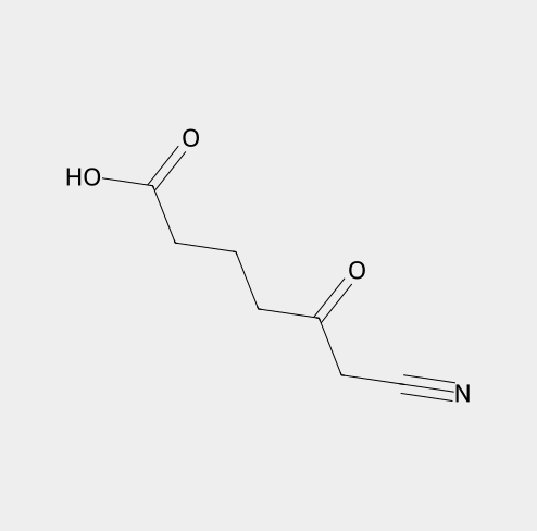 N#CCC(=O)CCCC(=O)O